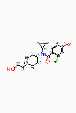 O=C(c1ccc(Br)cc1F)N(C1CC1)[C@H]1CC[C@H](CCO)CC1